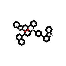 c1ccc(N(c2ccc(-c3cccc4ccccc34)cc2)c2ccc(-c3cccc4oc5ccccc5c34)cc2)c(-c2ccc3sc4ccccc4c3c2)c1